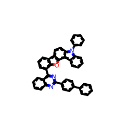 c1ccc(-c2ccc(-c3nc(-c4cccc5c4oc4c5ccc5c4c4ccccc4n5-c4ccccc4)c4ccccc4n3)cc2)cc1